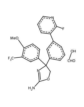 COc1ccc(C2(c3cccc(-c4cccnc4F)c3)COC(N)=N2)cc1C(F)(F)F.O=CO